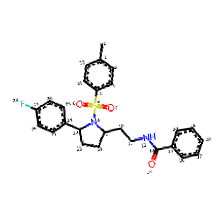 Cc1ccc(S(=O)(=O)N2C(CCNC(=O)c3ccccc3)CCC2c2ccc(F)cc2)cc1